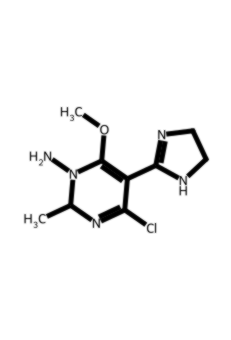 COC1=C(C2=NCCN2)C(Cl)=NC(C)N1N